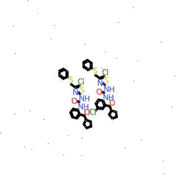 O=C(Nc1nc(CSc2ccccc2)c(Cl)s1)Nc1ccc(Cl)cc1C(=O)C1CCCC1.O=C(Nc1nc(CSc2ccccc2)c(Cl)s1)Nc1ccccc1C(=O)C1CCCC1